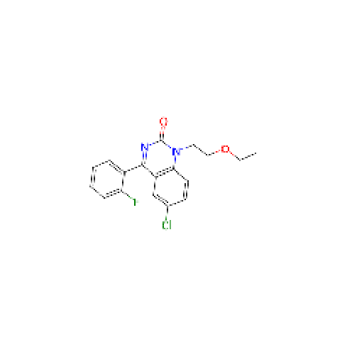 CCOCCn1c(=O)nc(-c2ccccc2F)c2cc(Cl)ccc21